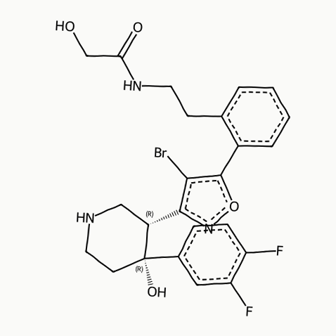 O=C(CO)NCCc1ccccc1-c1onc([C@H]2CNCC[C@]2(O)c2ccc(F)c(F)c2)c1Br